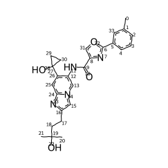 Cc1cccc(-c2nc(C(=O)Nc3cn4cc(CCC(C)(C)O)nc4cc3C3(O)CC3)co2)c1